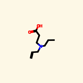 C=CCN(CCC)CCC(=O)O